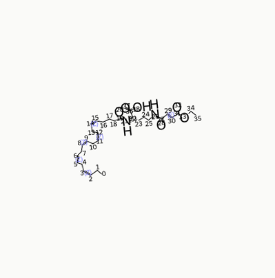 CC/C=C\C/C=C\C/C=C\C/C=C\C/C=C\CCCC(=O)N[C@@H](CCCNC(=O)/C=C/C(=O)OCC)C(=O)O